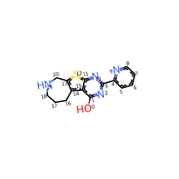 Oc1nc(-c2ccccn2)nc2sc3c(c12)CCCNC3